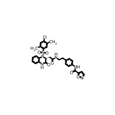 Cc1cc(S(=O)(=O)N2c3ccccc3NC(=O)[C@H]2CC(=O)NCCc2ccc(NC(=O)c3ccno3)cc2)c(C)cc1Cl